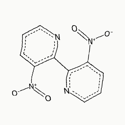 O=[N+]([O-])c1cccnc1-c1ncccc1[N+](=O)[O-]